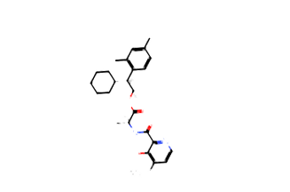 COc1ccnc(C(=O)N[C@@H](C)C(=O)O[C@@H](C)[C@@H](c2ccc(C)cc2C)C2CCCCC2)c1O